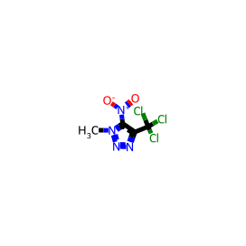 Cn1nnc(C(Cl)(Cl)Cl)c1[N+](=O)[O-]